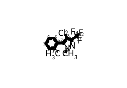 Cc1ccccc1-c1c(Cl)c(C(F)(F)F)nn1C